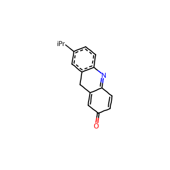 CC(C)c1ccc2c(c1)CC1=CC(=O)C=CC1=N2